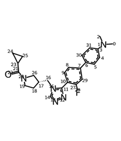 CN(C)c1ccc(-c2ccc(-c3nncn3C[C@@H]3CCN(C(=O)C4CC4)C3)c(F)c2)cc1